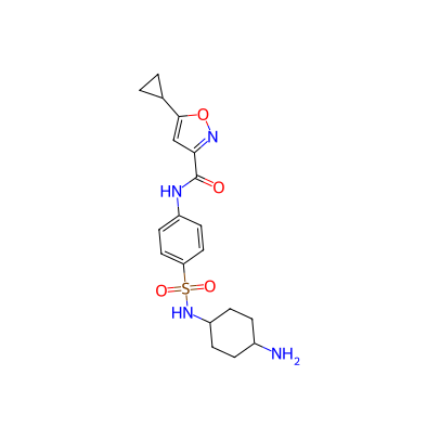 NC1CCC(NS(=O)(=O)c2ccc(NC(=O)c3cc(C4CC4)on3)cc2)CC1